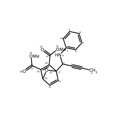 CC#CC(Nc1ccccc1)C12C=CC(O1)C(C(=O)OC)=C2C(=O)OC